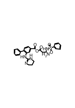 N[C@H](CC(=O)OC(=O)c1ccc(-c2ccccc2)c(NC2=NCCCN2)c1)NS(=O)(=O)c1ccccc1